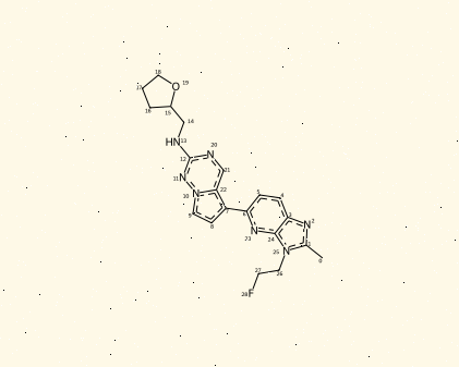 Cc1nc2ccc(-c3ccn4nc(NCC5CCCO5)ncc34)nc2n1CCF